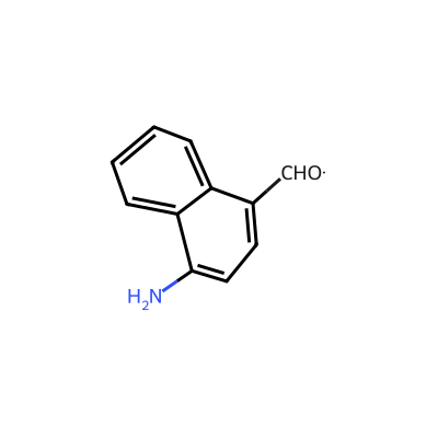 Nc1ccc([C]=O)c2ccccc12